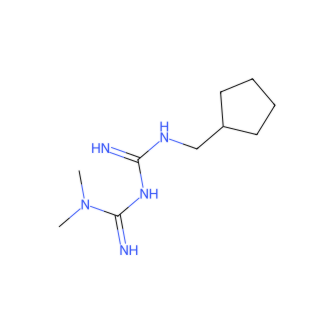 CN(C)C(=N)NC(=N)NCC1CCCC1